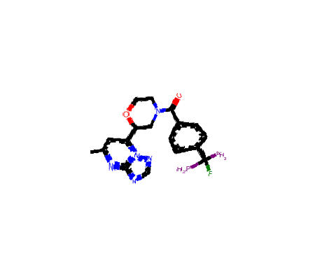 Cc1cc(C2CN(C(=O)c3ccc(C(F)(P)P)cc3)CCO2)n2ncnc2n1